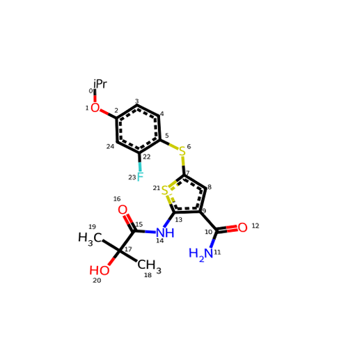 CC(C)Oc1ccc(Sc2cc(C(N)=O)c(NC(=O)C(C)(C)O)s2)c(F)c1